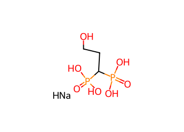 O=P(O)(O)C(CCO)P(=O)(O)O.[NaH]